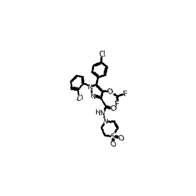 O=C(NN1CCS(=O)(=O)CC1)c1nn(-c2ccccc2Cl)c(-c2ccc(Cl)cc2)c1OC(F)F